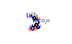 CCC(Nc1cc(F)c(C(=O)NC(Cc2ccc(-c3c(C)n(C)c(=O)n(C)c3=O)c3cccnc23)C(=O)O)c(F)c1)C(F)(F)F